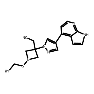 CC(C)CSN1CC(CC#N)(n2cc(-c3ccnc4[nH]ccc34)cn2)C1